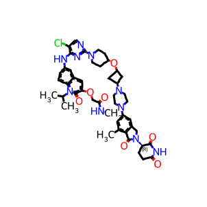 CNC(=O)COc1cc2cc(Nc3nc(N4CCC(OC5CC(N6CCN(c7cc(C)c8c(c7)CN([C@@H]7CCC(=O)NC7=O)C8=O)CC6)C5)CC4)ncc3Cl)ccc2n(C(C)C)c1=O